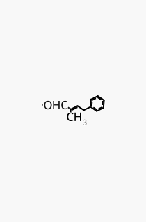 CC([C]=O)=CCc1ccccc1